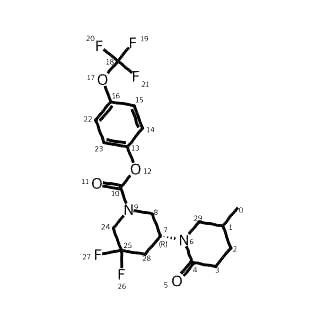 CC1CCC(=O)N([C@H]2CN(C(=O)Oc3ccc(OC(F)(F)F)cc3)CC(F)(F)C2)C1